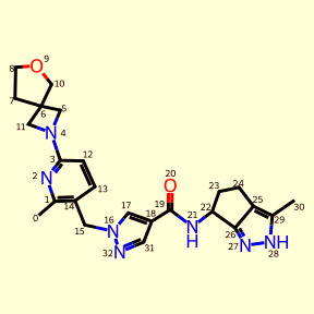 Cc1nc(N2CC3(CCOC3)C2)ccc1Cn1cc(C(=O)NC2CCc3c2n[nH]c3C)cn1